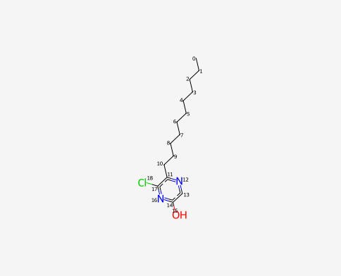 CCCCCCCCCCCc1ncc(O)nc1Cl